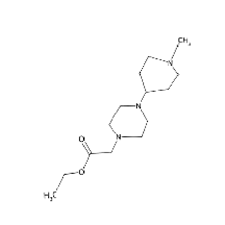 CCOC(=O)CN1CCN(C2CCN(C)CC2)CC1